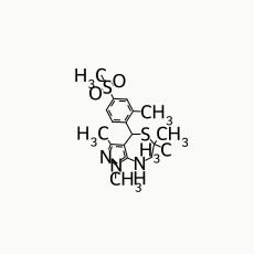 Cc1cc(S(C)(=O)=O)ccc1C1SC(C)(C)CNc2c1c(C)nn2C